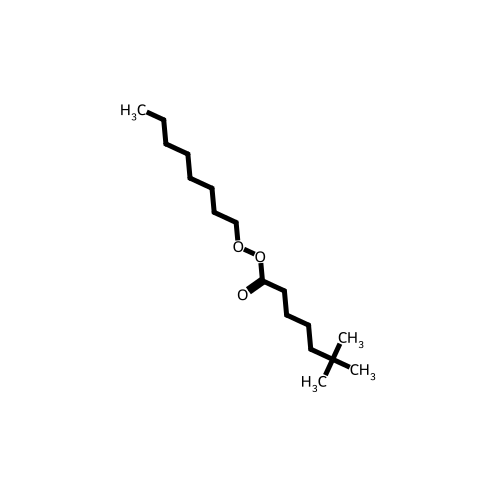 CCCCCCCCOOC(=O)CCCCC(C)(C)C